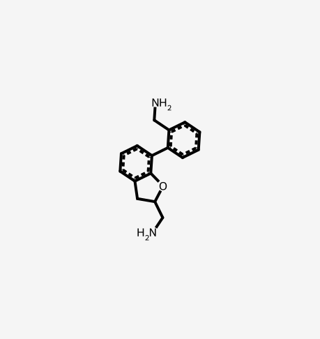 NCc1ccccc1-c1cccc2c1OC(CN)C2